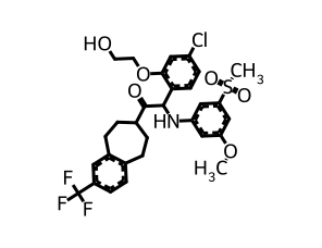 COc1cc(NC(C(=O)C2CCc3ccc(C(F)(F)F)cc3CC2)c2ccc(Cl)cc2OCCO)cc(S(C)(=O)=O)c1